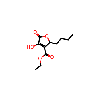 CCCCC1OC(=O)C(O)=C1C(=O)OCC